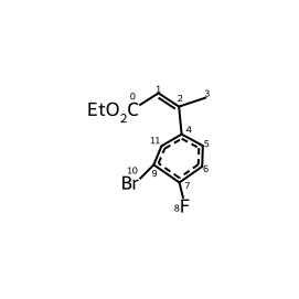 CCOC(=O)/C=C(/C)c1ccc(F)c(Br)c1